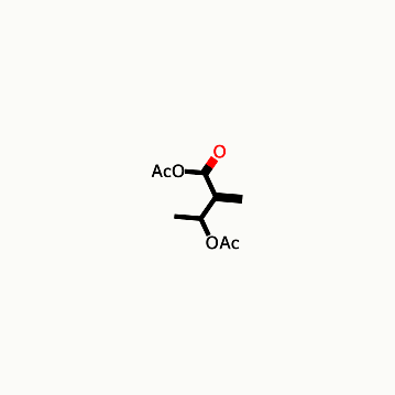 C=C(C(=O)OC(C)=O)C(C)OC(C)=O